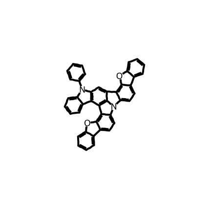 c1ccc(-n2c3ccccc3c3c4c5c6oc7ccccc7c6ccc5n5c6ccc7c8ccccc8oc7c6c(cc32)c45)cc1